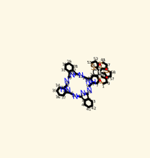 c1cs[c]([Cu]([c]2ccc3c4nc5nc(nc6[nH]c(nc7nc(nc([nH]4)c3c2)-c2ccccc2-7)c2ccccc62)-c2ccccc2-5)([c]2cccs2)([c]2cccs2)[c]2cccs2)c1